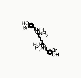 N/C(=C\N(N)CCc1ccc(O)c(Br)c1)CCCC/C(N)=C/N(N)CCc1ccc(O)c(Br)c1